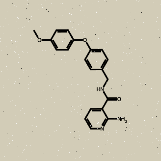 COc1ccc(Oc2ccc(CNC(=O)c3cccnc3N)cc2)cc1